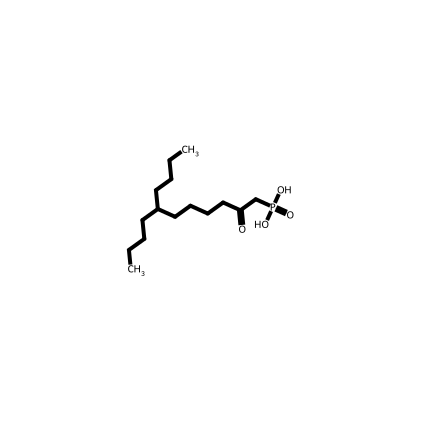 CCCCC(CCCC)CCCCC(=O)CP(=O)(O)O